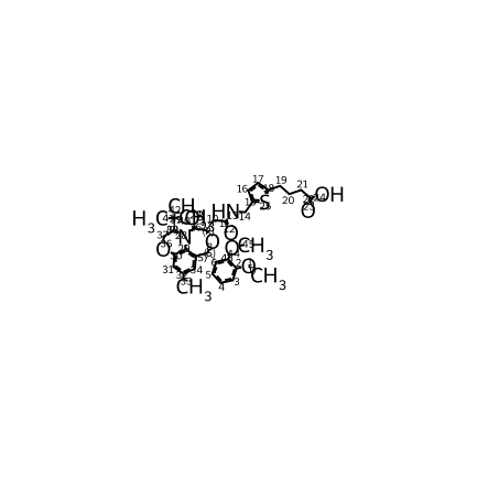 COc1cccc([C@H]2O[C@H](CC(=O)NCc3ccc(CCCC(=O)O)s3)C(=O)N3c4c(cc(C)cc42)OC[C@H]3C(C)(C)C)c1OC